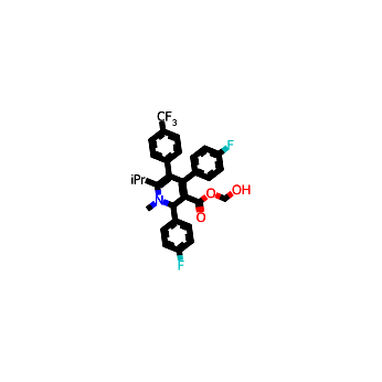 CC(C)C1=C(c2ccc(C(F)(F)F)cc2)C(c2ccc(F)cc2)=C(C(=O)OCO)C(c2ccc(F)cc2)N1C